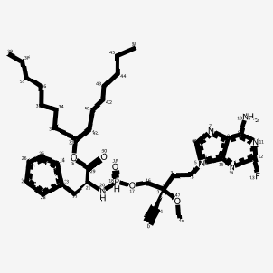 C#C[C@](CCn1cnc2c(N)nc(F)nc21)(CO[PH](=O)N[C@@H](Cc1ccccc1)C(=O)OC(CCCCCCC)CCCCCCC)OC